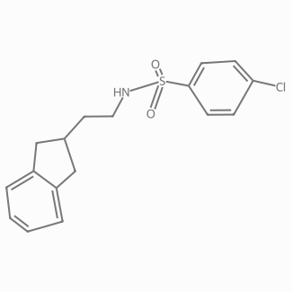 O=S(=O)(NCCC1Cc2ccccc2C1)c1ccc(Cl)cc1